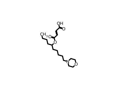 CCCCC(CCCCCN1CCOCC1)OC(=O)/C=C/C(=O)O